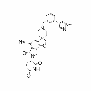 Cn1cc(-c2cccc(CN3CCC4(CC3)COc3c4cc(C#N)c4c3CN([C@H]3CCC(=O)NC3=O)C4=O)c2)cn1